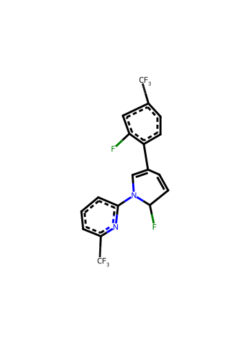 Fc1cc(C(F)(F)F)ccc1C1=CN(c2cccc(C(F)(F)F)n2)C(F)C=C1